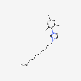 CCCCCCCCCCCCCCCCCCn1cc[n+](-c2c(C)cc(C)cc2C)c1